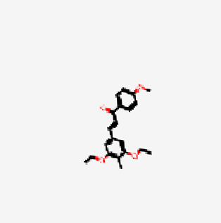 CCOc1cc(C=CC(=O)c2ccc(OC)cc2)cc(OCC)c1C